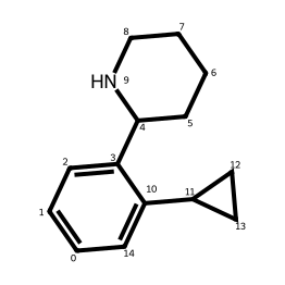 c1ccc(C2CCCCN2)c(C2CC2)c1